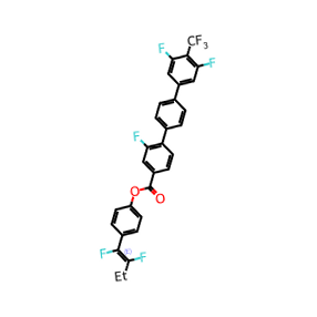 CC/C(F)=C(\F)c1ccc(OC(=O)c2ccc(-c3ccc(-c4cc(F)c(C(F)(F)F)c(F)c4)cc3)c(F)c2)cc1